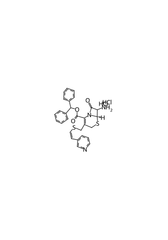 Cl.Cl.NC1C(=O)N2C(C(=O)OC(c3ccccc3)c3ccccc3)=C(CS/C=C\c3cccnc3)CS[C@@H]12